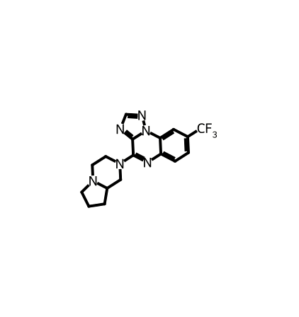 FC(F)(F)c1ccc2nc(N3CCN4CCCC4C3)c3ncnn3c2c1